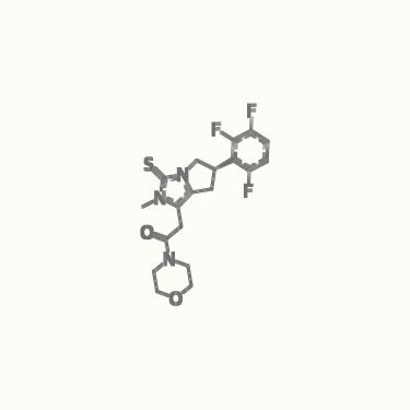 Cn1c(CC(=O)N2CCOCC2)c2n(c1=S)C[C@@H](c1c(F)ccc(F)c1F)C2